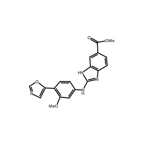 COC(=O)c1ccc2nc(Nc3ccc(-c4cnco4)c(OC)c3)[nH]c2c1